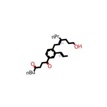 C/C=C/c1cc(C(=O)CCC(=O)CCCC)ccc1C/C=C(\CCC)CCCO